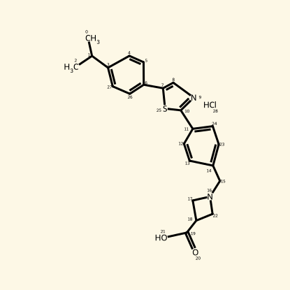 CC(C)c1ccc(-c2cnc(-c3ccc(CN4CC(C(=O)O)C4)cc3)s2)cc1.Cl